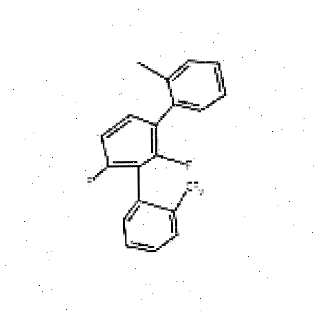 Cc1ccccc1-c1c[c]c(F)c(-c2ccccc2C(F)(F)F)c1F